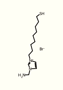 NCn1cc[n+](CCCCCCCCCS)c1.[Br-]